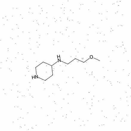 COCCCNC1CCNCC1